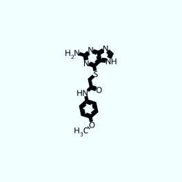 COc1ccc(NC(=O)CSc2nc(N)nc3nc[nH]c23)cc1